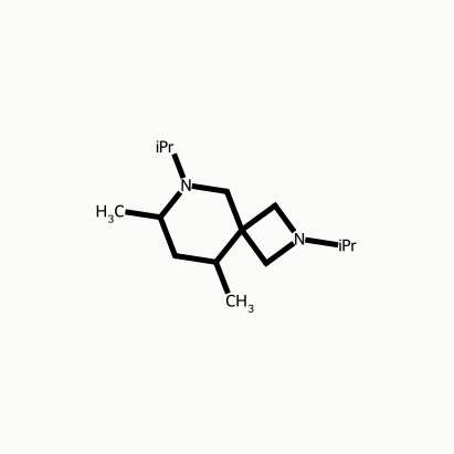 CC(C)N1CC2(C1)CN(C(C)C)C(C)CC2C